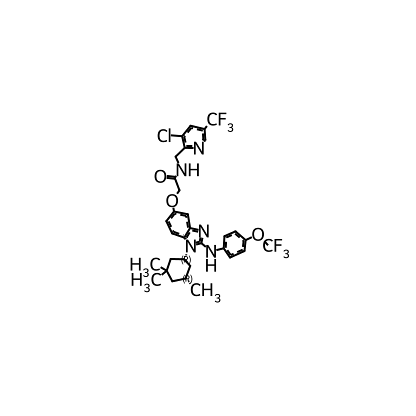 C[C@H]1C[C@@H](n2c(Nc3ccc(OC(F)(F)F)cc3)nc3cc(OCC(=O)NCc4ncc(C(F)(F)F)cc4Cl)ccc32)CC(C)(C)C1